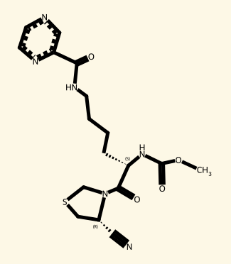 COC(=O)N[C@@H](CCCCNC(=O)c1cnccn1)C(=O)N1CSC[C@H]1C#N